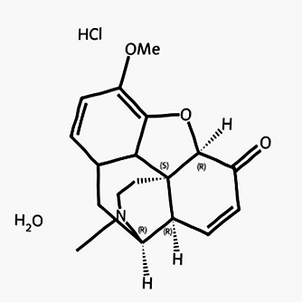 COC1=C2O[C@H]3C(=O)C=C[C@H]4[C@H]5CC(C=C1)C2[C@@]34CCN5C.Cl.O